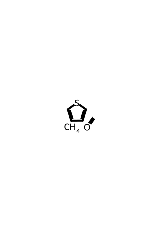 C.C=O.c1ccsc1